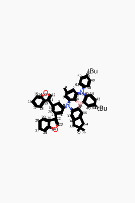 Cc1cc2c3c(c1)N(c1cc(-c4coc5ccccc45)cc(-c4coc5ccccc45)c1)c1cc4c(cc1B3c1cc(C(C)(C)C)ccc1N2c1ccc(C(C)(C)C)cc1)CC(C)(C)C4